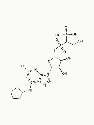 O=P(O)(O)C(CO)S(=O)(=O)C[C@H]1O[C@@H](n2nnc3c(NC4CCCC4)cc(Cl)nc32)[C@H](O)[C@@H]1O